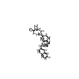 O=C1CCN(c2cnc3nnn(Cc4ccc5ncccc5c4)c3n2)CCN1